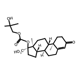 CC(C)(O)COC(=O)O[C@]1(C(=O)O)CC[C@H]2[C@@H]3CCC4=CC(=O)CC[C@]4(C)[C@H]3CC[C@@]21C